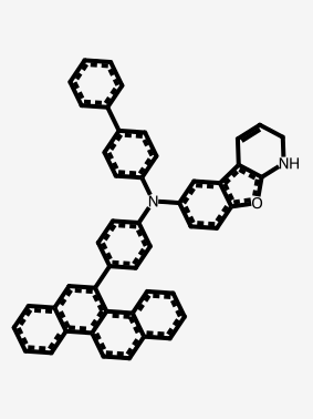 C1=Cc2c(oc3ccc(N(c4ccc(-c5ccccc5)cc4)c4ccc(-c5cc6ccccc6c6ccc7ccccc7c56)cc4)cc23)NC1